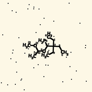 CCC(CC)(CC)C(P)OC(C)OC